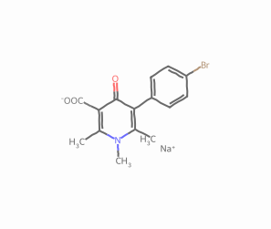 Cc1c(C(=O)[O-])c(=O)c(-c2ccc(Br)cc2)c(C)n1C.[Na+]